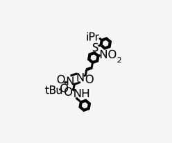 CC(C)c1ccccc1Sc1ccc(C=CC(=O)N2CCN(C(=O)OC(C)(C)C)C(C(=O)NCc3ccccc3)C2)cc1[N+](=O)[O-]